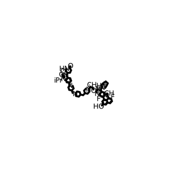 C#Cc1c(F)ccc2cc(O)cc(-c3ncc4c(N5CC6CCC(C5)N6)nc(OC[C@@H](C)N5CCC(CC6CCN(CC7CCN(c8ccc9c(c8)n(C(C)C)c(=O)n9C8CCC(=O)NC8=O)CC7)CC6)CC5)nc4c3F)c12